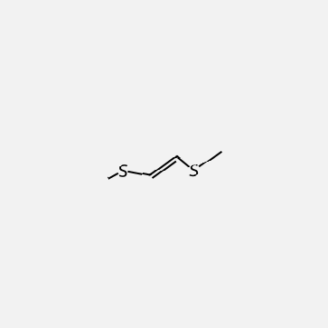 CSC=CSC